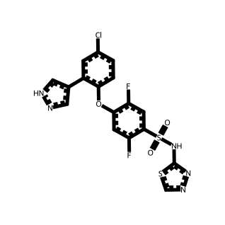 O=S(=O)(Nc1nncs1)c1cc(F)c(Oc2ccc(Cl)cc2-c2cn[nH]c2)cc1F